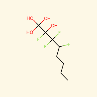 CCCCC(F)C(F)(F)C(O)(F)C(O)(O)O